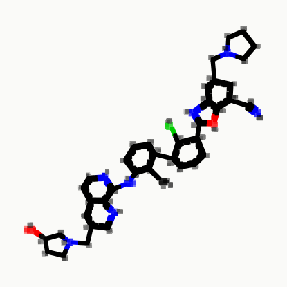 Cc1c(Nc2nccc3cc(CN4CC[C@@H](O)C4)cnc23)cccc1-c1cccc(-c2nc3cc(CN4CCCC4)cc(C#N)c3o2)c1Cl